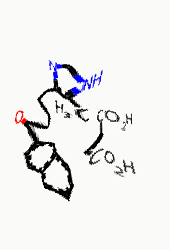 Cc1[nH]cnc1CCC(=O)c1ccc2ccccc2c1.O=C(O)C=CC(=O)O